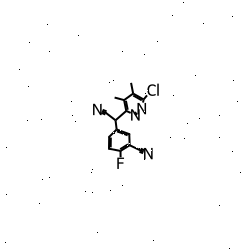 Cc1c(Cl)nnc(C(C#N)c2ccc(F)c(C#N)c2)c1C